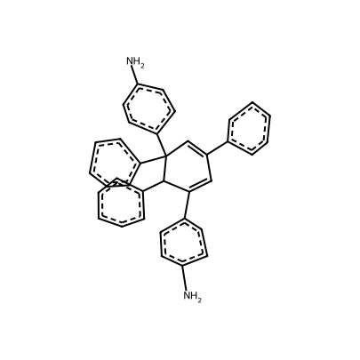 Nc1ccc(C2=CC(c3ccccc3)=CC(c3ccccc3)(c3ccc(N)cc3)C2c2ccccc2)cc1